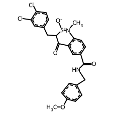 COc1ccc(CNC(=O)c2ccc3c(c2)C(=O)C(Cc2ccc(Cl)c(Cl)c2)[S+]([O-])N3C)cc1